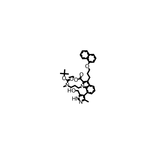 CCOC(=O)c1c(CCCOc2cccc3ccccc23)c2cccc(-c3c(C)n[nH]c3CO)c2n1CCCN(C)C(=O)OC(C)(C)C